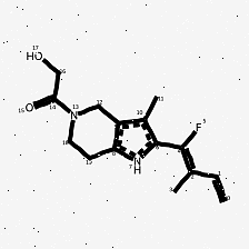 C=C/C(C)=C(\F)c1[nH]c2c(c1C)CN(C(=O)CO)CC2